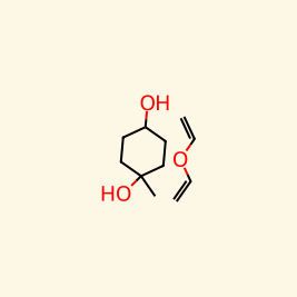 C=COC=C.CC1(O)CCC(O)CC1